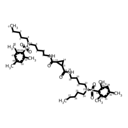 CCCCCN(CCCCNC(=O)C1CC1C(=O)NCCCCN(CCCCC)S(=O)(=O)c1c(C)cc(C)cc1C)S(=O)(=O)c1c(C)cc(C)cc1C